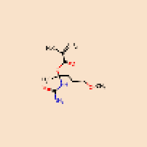 C=C(C)C(=O)OC(C)(CCCOC)NC(N)=O